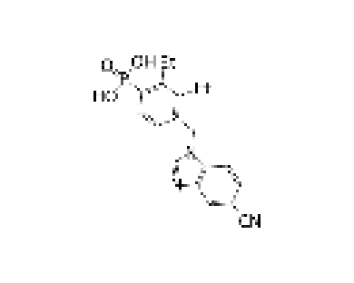 CCc1c(Cn2cnc3cc(C#N)ccc32)ccc(P(=O)(O)O)c1CC